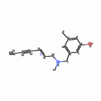 Cc1cc(Br)cc(CN(C)C/C=C/C#CC(C)(C)C)c1